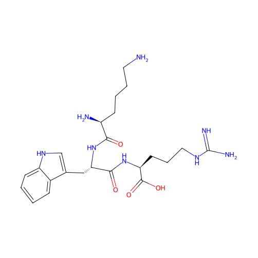 N=C(N)NCCC[C@H](NC(=O)[C@H](Cc1c[nH]c2ccccc12)NC(=O)[C@@H](N)CCCCN)C(=O)O